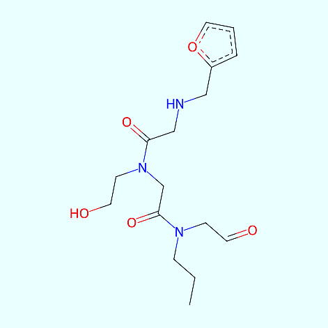 CCCN(CC=O)C(=O)CN(CCO)C(=O)CNCc1ccco1